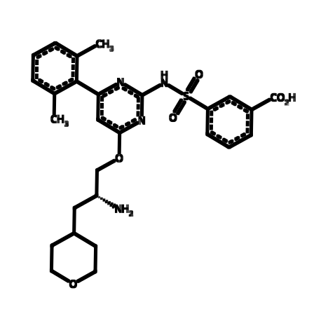 Cc1cccc(C)c1-c1cc(OC[C@H](N)CC2CCOCC2)nc(NS(=O)(=O)c2cccc(C(=O)O)c2)n1